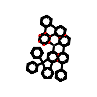 c1ccc(-c2ccc(-c3ccccc3N(c3ccc4c(c3)C(c3ccccc3)(c3ccccc3)c3ccccc3-4)c3ccccc3-c3ccccc3-c3ccccc3-c3ccccc3)cc2)cc1